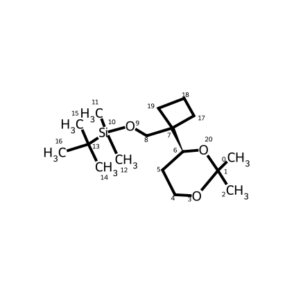 CC1(C)OCC[C@@H](C2(CO[Si](C)(C)C(C)(C)C)CCC2)O1